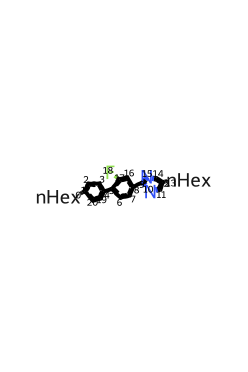 CCCCCCc1ccc(-c2ccc(-c3ncc(CCCCCC)cn3)cc2F)cc1